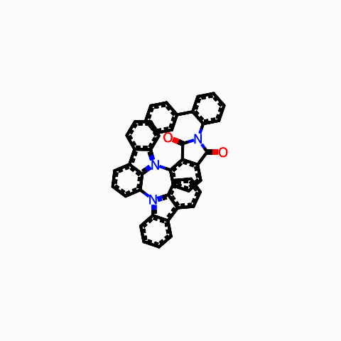 O=C1c2cccc(-n3c4ccccc4c4cccc(-n5c6ccccc6c6ccccc65)c43)c2C(=O)N1c1ccccc1-c1ccccc1